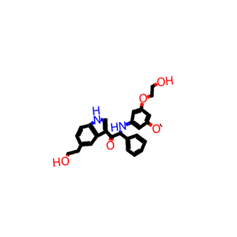 COc1cc(NC(C(=O)c2c[nH]c3ccc(CCO)cc23)c2ccccc2)cc(OCCO)c1